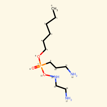 CCCCCCOP(=O)(CCCN)ONCCN